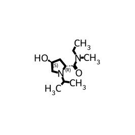 CCN(C)C(=O)[C@H]1C[C@H](O)CN1C(C)C